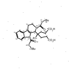 CCC(CCC(=O)O)(CCC(=O)O)C1c2c(c3ccccc3n2C(=O)OC(C)(C)C)CCN1C(=O)OC(C)(C)C